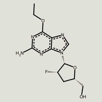 CCOc1nc(N)nc2c1ncn2[C@@H]1O[C@H](CO)C[C@@H]1F